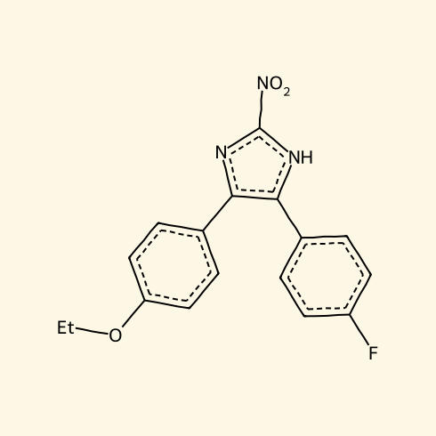 CCOc1ccc(-c2nc([N+](=O)[O-])[nH]c2-c2ccc(F)cc2)cc1